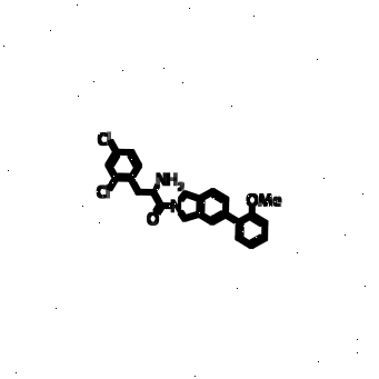 COc1ccccc1-c1ccc2c(c1)CN(C(=O)[C@H](N)Cc1ccc(Cl)cc1Cl)C2